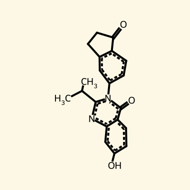 CC(C)c1nc2cc(O)ccc2c(=O)n1-c1ccc2c(c1)CCC2=O